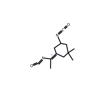 C/C(N=C=O)=C1/CC(N=C=O)CC(C)(C)C1